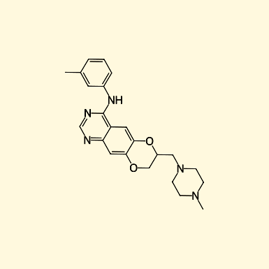 Cc1cccc(Nc2ncnc3cc4c(cc23)OC(CN2CCN(C)CC2)CO4)c1